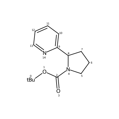 CC(C)(C)OC(=O)N1CCCC1c1ccccn1